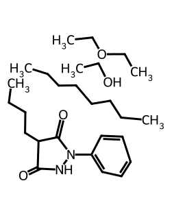 CCCCC1C(=O)NN(c2ccccc2)C1=O.CCCCCCCC.CCO.CCOCC